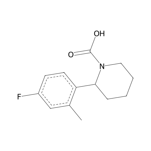 Cc1cc(F)ccc1C1CCCCN1C(=O)O